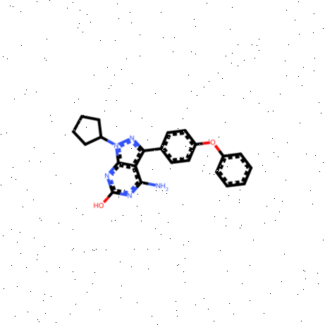 Nc1nc(O)nc2c1c(-c1ccc(Oc3ccccc3)cc1)nn2C1CCCC1